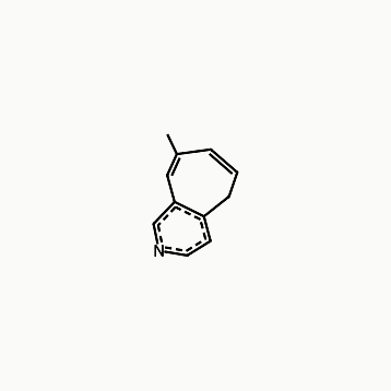 CC1=Cc2cnccc2CC=C1